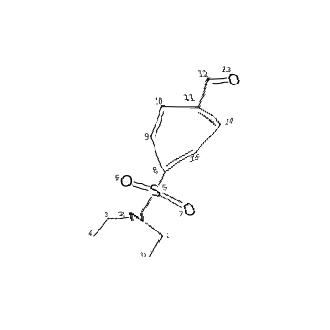 CCN(CC)S(=O)(=O)c1ccc(C=O)cc1